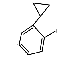 Ic1cc[c]cc1C1CC1